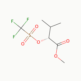 COC(=O)[C@H](OS(=O)(=O)C(F)(F)F)C(C)C